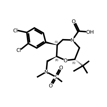 CN(C[C@@H]1O[C@@H](C(C)(C)C)CN(C(=O)O)C[C@@H]1c1ccc(Cl)c(Cl)c1)S(C)(=O)=O